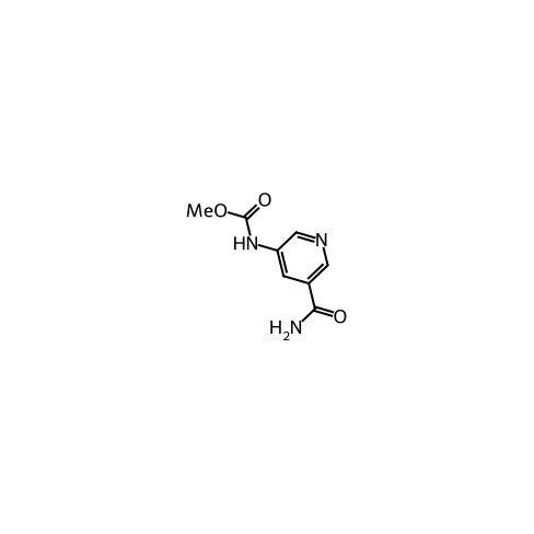 COC(=O)Nc1cncc(C(N)=O)c1